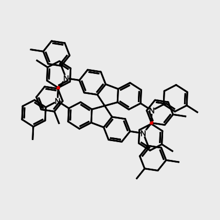 CC1=CCCC(N(c2ccc3c(c2)C2(c4cc(N(C5=CC(C)CC(C)=C5)c5cccc(C)c5)ccc4-c4ccc(N(c5cccc(C)c5)c5cccc(C)c5)cc42)c2cc(N(c4cccc(C)c4)c4cccc(C)c4)ccc2-3)C2C=C(C)C=CC2)=C1